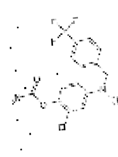 CN(Cc1ccc(C(F)(F)F)cc1)c1ccc(OC(N)=O)c(Cl)c1